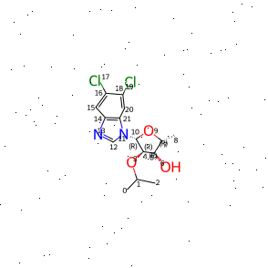 CC(C)O[C@@H]1[C@H](O)[C@@H](C)O[C@H]1n1cnc2cc(Cl)c(Cl)cc21